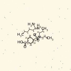 CCCCCC(N)N.CCCN(CCC)S(=O)(=O)c1ccc(C(=O)O)cc1